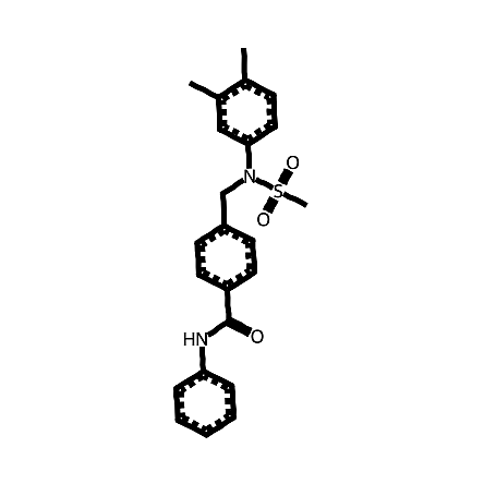 Cc1ccc(N(Cc2ccc(C(=O)Nc3ccccc3)cc2)S(C)(=O)=O)cc1C